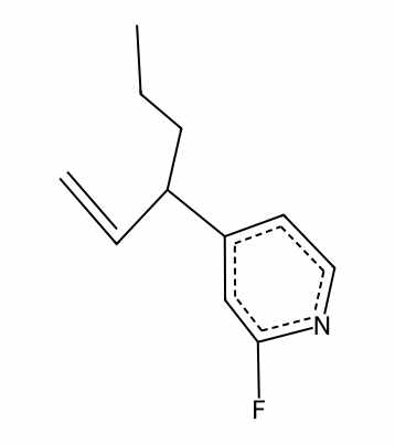 C=CC(CCC)c1ccnc(F)c1